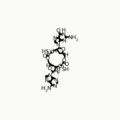 Nc1nc2c(ncn2[C@@H]2O[C@@H]3CO[P@@](=O)(S)O[C@H]4[C@H](F)[C@H](n5cnc6c(N)ncnc65)O[C@@H]4CO[P@](=O)(S)O[C@@H]2C3)c(=O)[nH]1